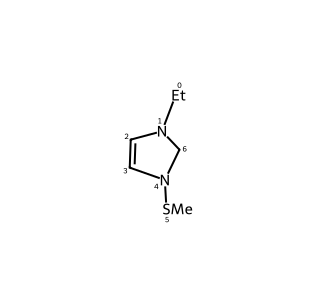 CCN1C=CN(SC)C1